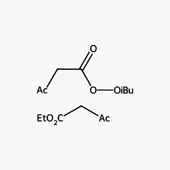 CC(=O)CC(=O)OOCC(C)C.CCOC(=O)CC(C)=O